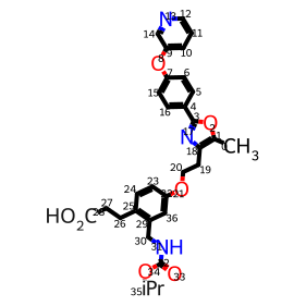 Cc1oc(-c2ccc(Oc3cccnc3)cc2)nc1CCOc1ccc(CCC(=O)O)c(CNC(=O)OC(C)C)c1